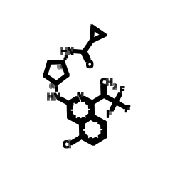 C=C(c1nc(N[C@@H]2CC[C@H](NC(=O)C3CC3)C2)cc2c(Cl)cccc12)C(F)(F)F